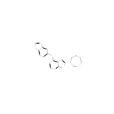 C[C@H]1NCCCC[C@H]1c1cc2c(Nc3ccc4scnc4c3)ccnc2s1